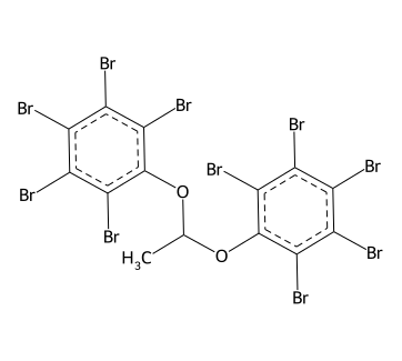 CC(Oc1c(Br)c(Br)c(Br)c(Br)c1Br)Oc1c(Br)c(Br)c(Br)c(Br)c1Br